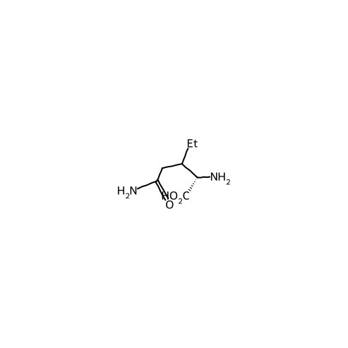 CCC(CC(N)=O)[C@H](N)C(=O)O